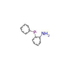 Nc1ccccc1[P]c1ccccc1